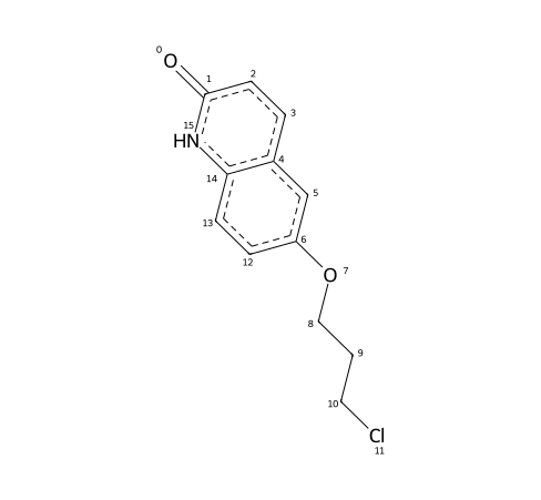 O=c1ccc2cc(OCCCCl)ccc2[nH]1